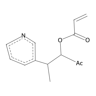 C=CC(=O)OC(C(C)=O)C(C)c1cccnc1